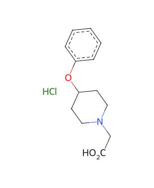 Cl.O=C(O)CN1CCC(Oc2ccccc2)CC1